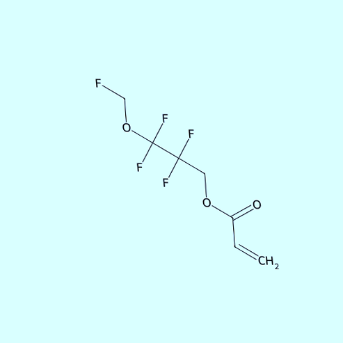 C=CC(=O)OCC(F)(F)C(F)(F)OCF